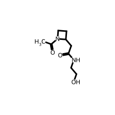 CC(=O)N1CCC1CC(=O)NCCO